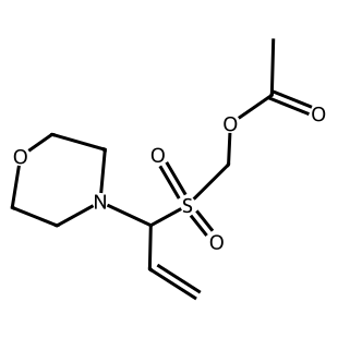 C=CC(N1CCOCC1)S(=O)(=O)COC(C)=O